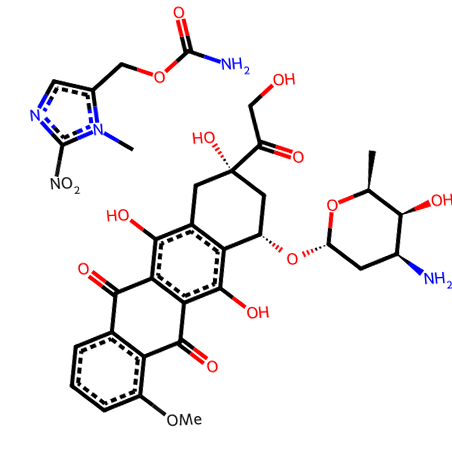 COc1cccc2c1C(=O)c1c(O)c3c(c(O)c1C2=O)C[C@@](O)(C(=O)CO)C[C@@H]3O[C@H]1C[C@H](N)[C@H](O)[C@H](C)O1.Cn1c(COC(N)=O)cnc1[N+](=O)[O-]